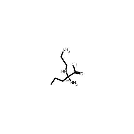 CCC[C@](N)(NCCN)C(=O)O